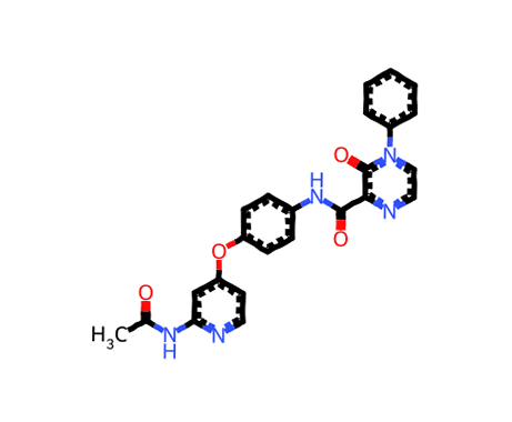 CC(=O)Nc1cc(Oc2ccc(NC(=O)c3nccn(-c4ccccc4)c3=O)cc2)ccn1